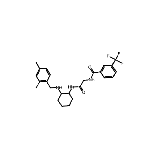 Cc1ccc(CNC2CCCCC2NC(=O)CNC(=O)c2cccc(C(F)(F)F)c2)c(C)c1